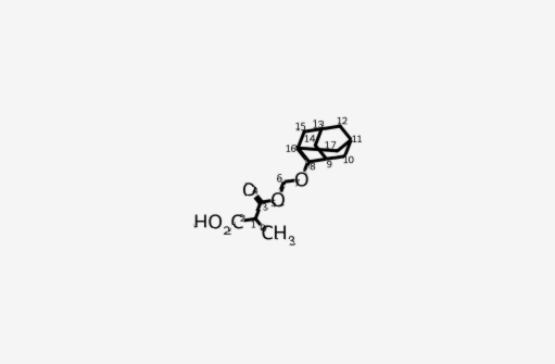 CC(C(=O)O)C(=O)OCOC1C2CC3CC(C2)CC1C3